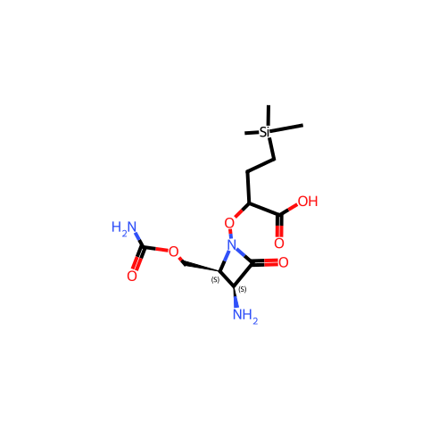 C[Si](C)(C)CCC(ON1C(=O)[C@@H](N)[C@H]1COC(N)=O)C(=O)O